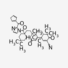 CC1(C)CCC2(C(=O)n3ccnc3C(=O)C3=CCC=C3)CCC3(C)C(C(=O)C=C4C5(C)C=C(C#N)C(=O)C(C)(C)C5CCC43C)C2C1